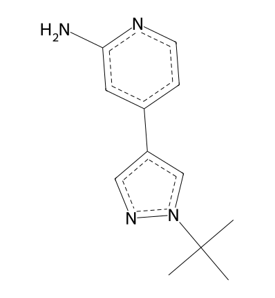 CC(C)(C)n1cc(-c2ccnc(N)c2)cn1